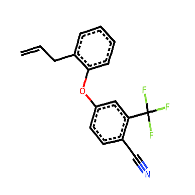 C=CCc1ccccc1Oc1ccc(C#N)c(C(F)(F)F)c1